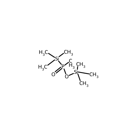 C[Si](C)(C)OP(C)(=O)[Si](C)(C)C